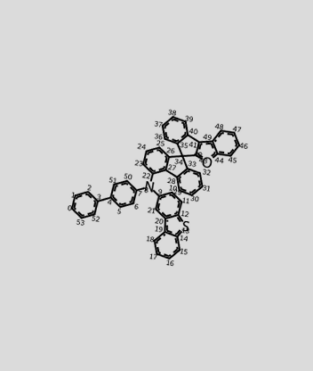 c1ccc(-c2ccc(N(c3ccc4sc5ccccc5c4c3)c3cccc4c3-c3ccccc3C43c4ccccc4-c4c3oc3ccccc43)cc2)cc1